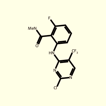 CNC(=O)c1c(F)cccc1Nc1nc(Cl)ncc1C(F)(F)F